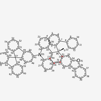 C[C@@]1(c2ccccc2-c2ccccc2)CC=CC=C1c1ccccc1N(c1cccc(-c2ccc3oc4ccccc4c3c2)c1)c1ccc2c(c1)-c1ccccc1C21c2ccccc2-c2ccccc21